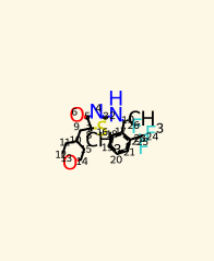 C[C@H](NC1=NC(=O)C(C)(CC2CCOCC2)S1)c1ccccc1C(F)(F)F